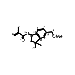 C=C(C)C(=O)OC1CC(C)(C)c2cc(COC)ccc21